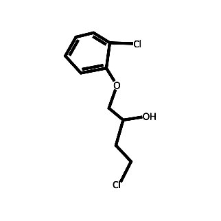 OC(CCCl)COc1ccccc1Cl